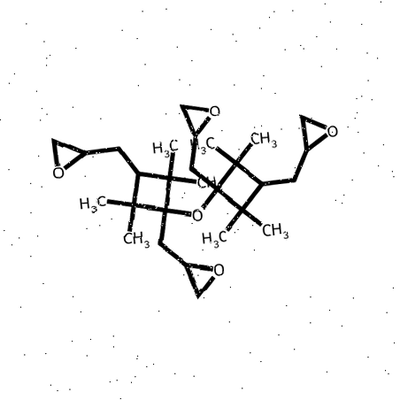 CC1(C)C(CC2CO2)C(C)(C)C1(CC1CO1)OC1(CC2CO2)C(C)(C)C(CC2CO2)C1(C)C